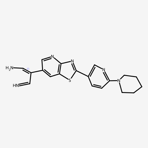 N=C/C(=C\N)c1cnc2nc(-c3ccc(N4CCCCC4)nc3)sc2c1